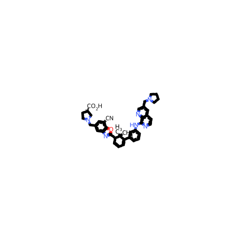 CC1(C)C(c2cccc(Nc3nccc4cc(CN5CCCC5)cnc34)c2)=CC=CC1c1nc2cc(CN3CC[C@@H](C(=O)O)C3)cc(C#N)c2o1